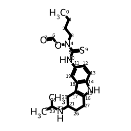 CCCCN(OC=O)C(=S)Nc1ccc2[nH]c3c(c2c1)CC(NC(C)C)CC3